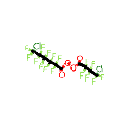 O=C(OOC(=O)C(F)(F)C(F)(F)C(F)(F)C(F)(F)C(F)(F)Cl)C(F)(F)C(F)(F)C(F)(F)Cl